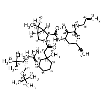 C#CCCC(NC(=O)[C@@H]1[C@@H]2[C@H](CN1C(=O)[C@@H](NC(=O)N[C@H](COC(C)(C)C)C(C)(C)C)C1(C)CCCCC1)C2(C)C)C(=O)C(=O)NCC=C